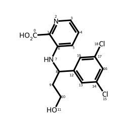 O=C(O)c1ncccc1NC(CCO)c1cc(Cl)cc(Cl)c1